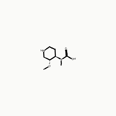 CO[C@@H]1CNCC[C@H]1N(C)C(=O)O